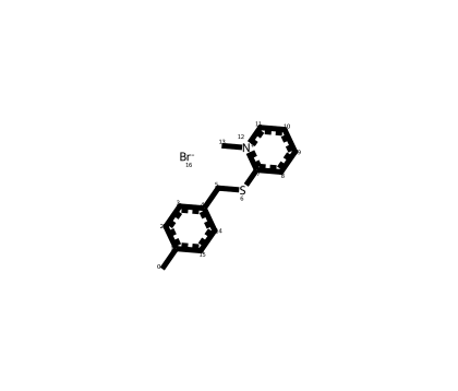 Cc1ccc(CSc2cccc[n+]2C)cc1.[Br-]